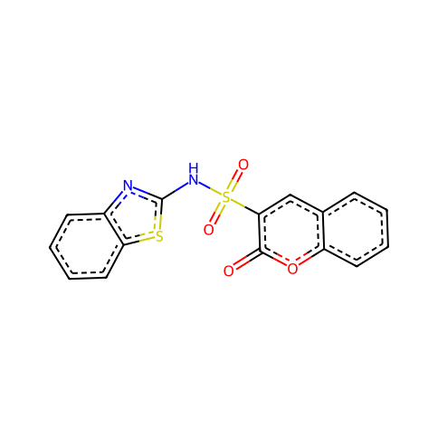 O=c1oc2ccccc2cc1S(=O)(=O)Nc1nc2ccccc2s1